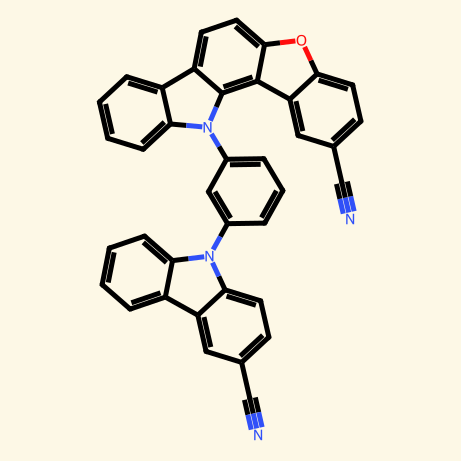 N#Cc1ccc2oc3ccc4c5ccccc5n(-c5cccc(-n6c7ccccc7c7cc(C#N)ccc76)c5)c4c3c2c1